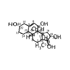 C[C@]12CC[C@H]3[C@@H]([C@@H](O)C=C4C[C@@H](O)CC[C@@]43C)[C@@H]1C[C@H](O)[C@H]2O